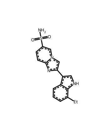 CCc1cccc2c(-c3cn4cc(S(N)(=O)=O)ccc4n3)c[nH]c12